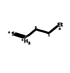 CCCC[PH2]=S